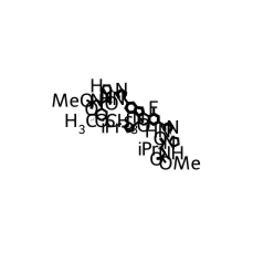 COC(=O)NC(C(=O)N1CCC[C@H]1c1ncc(-c2ccc3c(c2)cc2n3C(c3ccc(C(C)C)s3)Oc3cc(-c4cnc([C@@H]5CCCN5C(=O)[C@@H](NC(=O)OC)C(C)C)[nH]4)cc(F)c3-2)[nH]1)C1C[C@@H](C)O[C@@H](C)C1